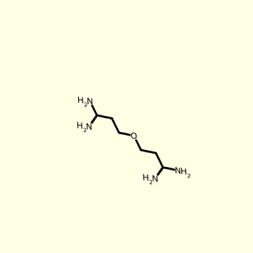 NC(N)CCOCCC(N)N